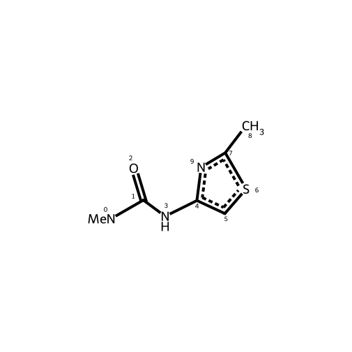 CNC(=O)Nc1csc(C)n1